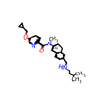 CC(C)CCNCc1ccc2c(c1)CC[C@H](N(C)C(=O)c1ccc(OCC3CC3)cn1)C2